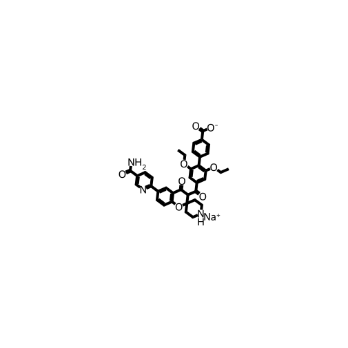 CCOc1cc(C(=O)C2C(=O)c3cc(-c4ccc(C(N)=O)cn4)ccc3OC23CCNCC3)cc(OCC)c1-c1ccc(C(=O)[O-])cc1.[Na+]